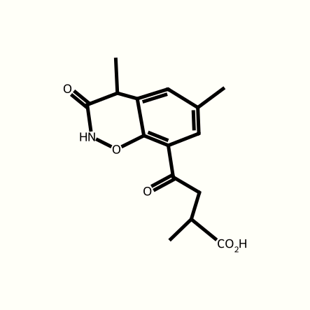 Cc1cc(C(=O)CC(C)C(=O)O)c2c(c1)C(C)C(=O)NO2